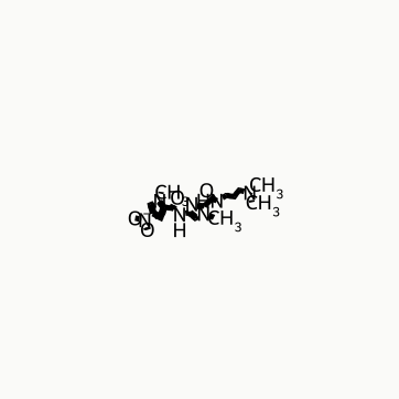 CN(C)CCCNC(=O)c1nc(NC(=O)c2cc([N+](=O)[O-])cn2C)cn1C